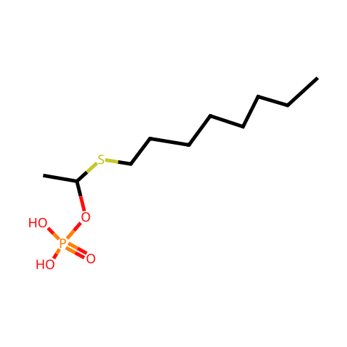 CCCCCCCCSC(C)OP(=O)(O)O